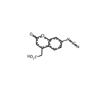 [N-]=[N+]=Nc1ccc2c(CC(=O)O)cc(=O)oc2c1